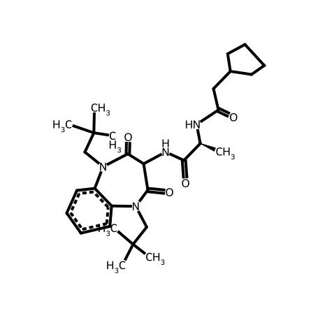 C[C@H](NC(=O)CC1CCCC1)C(=O)NC1C(=O)N(CC(C)(C)C)c2ccccc2N(CC(C)(C)C)C1=O